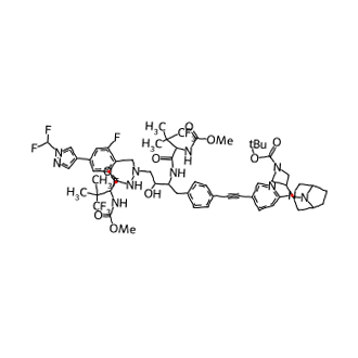 COC(=O)NC(C(=O)NC(Cc1ccc(C#Cc2ccc(N3CC4CCC(C3)N4CC3CN(C(=O)OC(C)(C)C)C3)nc2)cc1)C(O)CN(Cc1c(F)cc(-c2cnn(C(F)F)c2)cc1F)NC(=O)C(NC(=O)OC)C(C)(C)C(F)(F)F)C(C)(C)C(F)(F)F